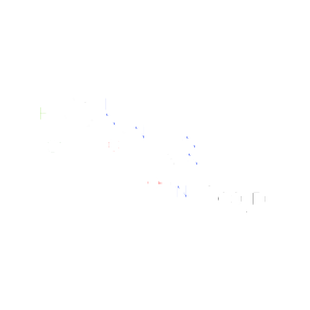 CCOC(=O)C1(C)CN(C)C(=O)c2c3c(nn2C1)CCN(C(=O)Nc1ccc(F)c(Cl)c1)C3